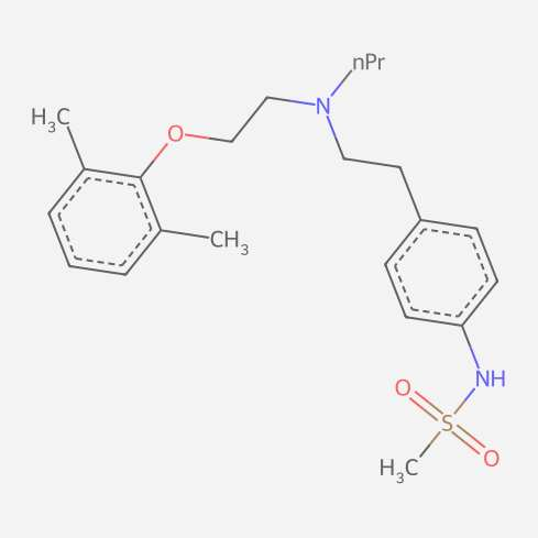 CCCN(CCOc1c(C)cccc1C)CCc1ccc(NS(C)(=O)=O)cc1